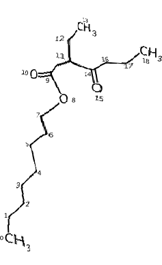 CCCCCCCCOC(=O)C(CC)C(=O)CCC